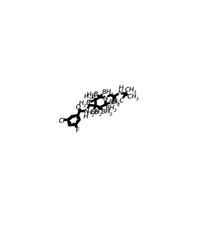 BC1(B)N(CC(=O)NC(C)(C)C)C(B)(B)C(B)(B)C(B)(CNC(=O)c2cc(F)cc(Cl)c2)C1(B)B